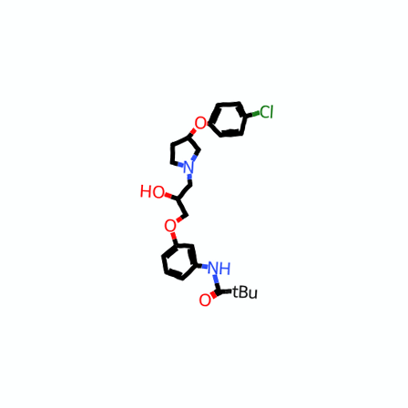 CC(C)(C)C(=O)Nc1cccc(OCC(O)CN2CCC(Oc3ccc(Cl)cc3)C2)c1